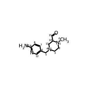 CN1CCN(Cc2ccc(N)nc2)CC1C=O